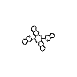 c1ccc2cc(/C3=N/c4cc5ccccc5cc4/C(c4cc5ccccc5cn4)=N\c4cc5ccccc5cc43)ncc2c1